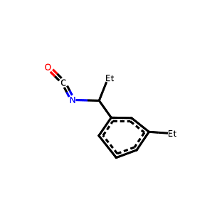 CCc1cccc(C(CC)N=C=O)c1